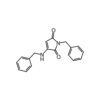 O=C1C=C(NCc2ccccc2)C(=O)N1Cc1ccccc1